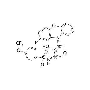 O=S(=O)(N[C@@H]1COC[C@H](N2c3ccccc3Oc3ccc(F)cc32)[C@H]1O)c1ccc(OC(F)(F)F)cc1